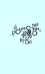 CCOc1cc(C(Nc2ccc(C(=N)N)cc2)C(=O)NNS(=O)(=O)c2ccccc2)ccc1OC(C)C.O=C(O)C(F)(F)F